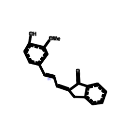 COc1cc(/C=C/C=C2Cc3ccccc3C2=O)ccc1O